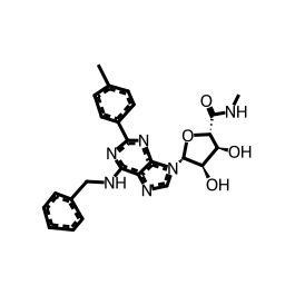 CNC(=O)[C@H]1O[C@@H](n2cnc3c(NCc4ccccc4)nc(-c4ccc(C)cc4)nc32)[C@H](O)[C@@H]1O